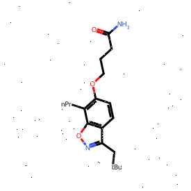 CCCc1c(OCCCC(N)=O)ccc2c(CC(C)(C)C)noc12